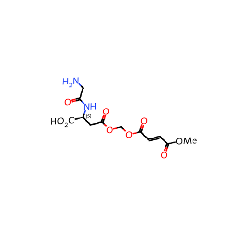 COC(=O)C=CC(=O)OCOC(=O)C[C@H](NC(=O)CN)C(=O)O